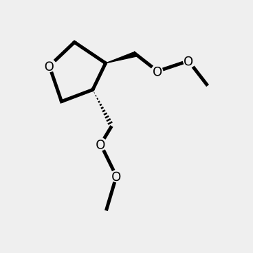 COOC[C@@H]1COC[C@H]1COOC